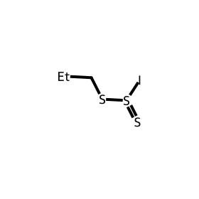 CCCSS(=S)I